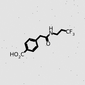 O=C(Cc1ccc(C(=O)O)cc1)NCCC(F)(F)F